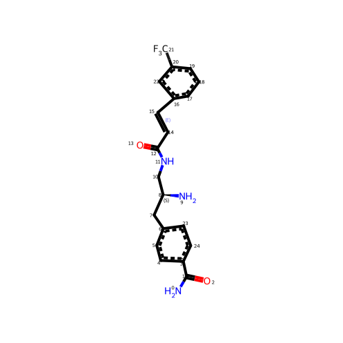 NC(=O)c1ccc(C[C@H](N)CNC(=O)/C=C/c2cccc(C(F)(F)F)c2)cc1